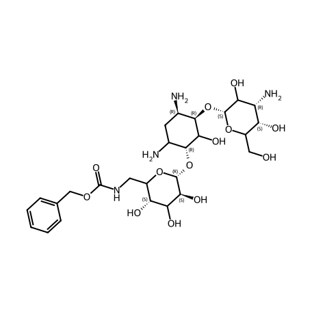 NC1C[C@@H](N)[C@@H](O[C@H]2OC(CO)[C@@H](O)[C@@H](N)C2O)C(O)[C@@H]1O[C@H]1OC(CNC(=O)OCc2ccccc2)[C@@H](O)C(O)[C@@H]1O